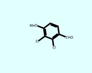 COc1ccc(C=O)c(Cl)c1Cl